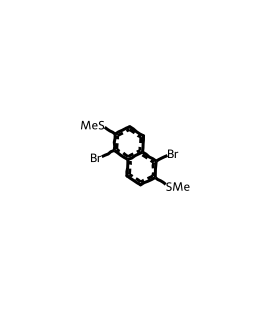 CSc1ccc2c(Br)c(SC)ccc2c1Br